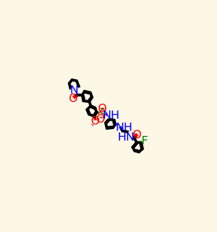 COc1ccc(-c2cccc(C(=O)N3CCCCC3)c2)cc1S(=O)(=O)Nc1cccc(NCCNC(=O)c2ccccc2F)c1